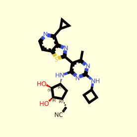 Cc1nc(NC2CCC2)nc(N[C@@H]2C[C@H](CC#N)[C@@H](O)[C@H]2O)c1-c1nc2c(C3CC3)nccc2s1